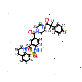 Cc1cc(C(=O)N2CCN(C(=O)C(C)(C)c3ccc(F)cc3)CC2)ccc1NS(=O)(=O)c1cccc2c1N=CCC2